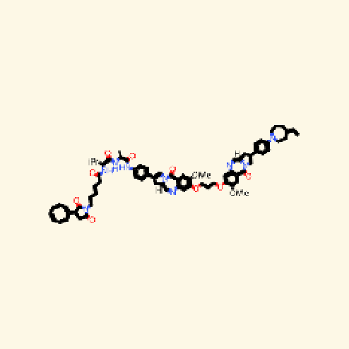 C/C=C1/CCCN(c2ccc(C3=CN4C(=O)c5cc(OC)c(OCCCOc6cc7c(cc6OC)C(=O)N6C=C(c8ccc(NC(=O)[C@H](C)NC(=O)C(NC(=O)CCCCCN9C(=O)CC(C%10=C/C=C\C=C/C=C\%10)C9=O)C(C)C)cc8)C[C@H]6C=N7)cc5N=C[C@@H]4C3)cc2)CC1